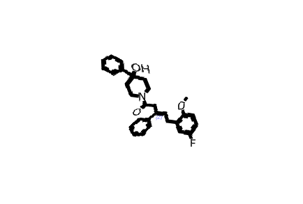 COc1ccc(F)cc1C/C=C(/CC(=O)N1CCC(O)(c2ccccc2)CC1)c1ccccc1